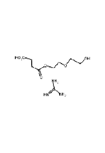 N=C(N)N.O=C(O)CCC(=O)OCCOCCO